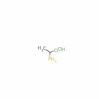 CC(P)Cl.Cl